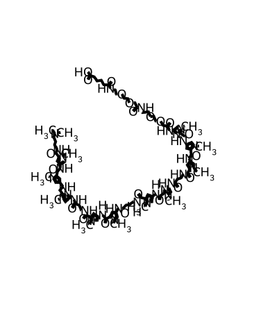 CN(C)CCCNC(=O)c1cc(NC(=O)c2cc(NCc3nc(NC(=O)CCNC(=O)c4cc(NC(=O)c5cc(NC(=O)CCCNC(=O)c6cc(NC(=O)c7nc(NC(=O)CCNC(=O)c8cc(NC(=O)c9cc(NC(=O)c%10nc(NC(=O)COCCOCCNC(=O)COCCOCCNC(=O)CCCCC(=O)O)cn%10C)cn9C)cn8C)cn7C)cn6C)cn5C)cn4C)cn3C)cn2C)cn1C